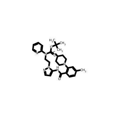 Cc1ccc(C(=O)Nc2ccnn2CCN(C(=O)OC(C)(C)C)c2ccccn2)c(N2CCC(C)CC2)c1